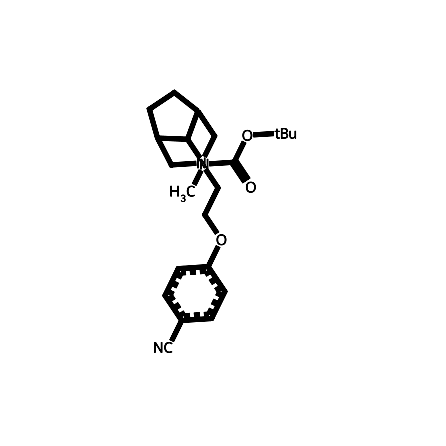 CN(C(=O)OC(C)(C)C)C1C2CCC1CN(CCOc1ccc(C#N)cc1)C2